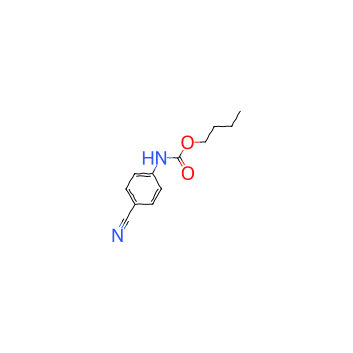 CCCCOC(=O)Nc1ccc(C#N)cc1